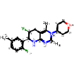 [2H]C1=C2C[C@H](F)[C@H](c3cc(C)ccc3F)NC2=NC([2H])N1C1CCOCC1